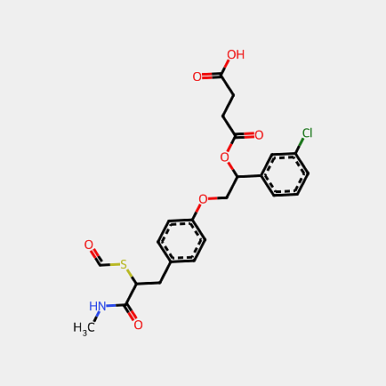 CNC(=O)C(Cc1ccc(OCC(OC(=O)CCC(=O)O)c2cccc(Cl)c2)cc1)SC=O